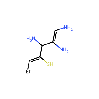 CC/C=C(\S)C(N)/C(N)=C/N